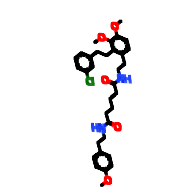 COc1ccc(CCNC(=O)CCCCC(=O)NCCc2ccc(OC)c(OC)c2CCc2cccc(Cl)c2)cc1